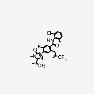 C[C@H](O)c1nn(-c2cc(C[C@@H](C)C(F)(F)F)c(C(=O)Nc3c(F)cccc3Cl)cc2F)c(=O)n1C